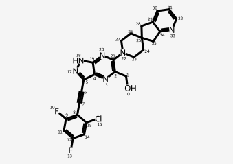 OCc1nc2c(C#Cc3c(F)cc(F)cc3Cl)n[nH]c2nc1N1CCC2(CC1)Cc1cccnc1C2